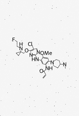 C=CC(=O)Nc1cc(Nc2ncc(Cl)c(OCC3(NCCF)CC3)n2)c(OC)cc1N1CCC(N(C)C)CC1